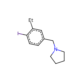 CCc1cc(CN2CCCC2)ccc1I